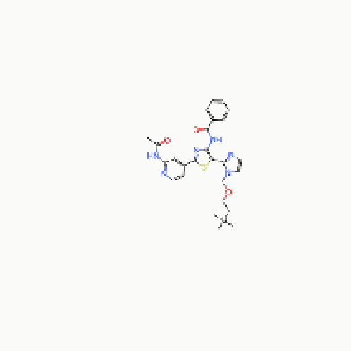 CC(=O)Nc1cc(-c2nc(NC(=O)c3ccccc3)c(-c3nccn3COCC[Si](C)(C)C)s2)ccn1